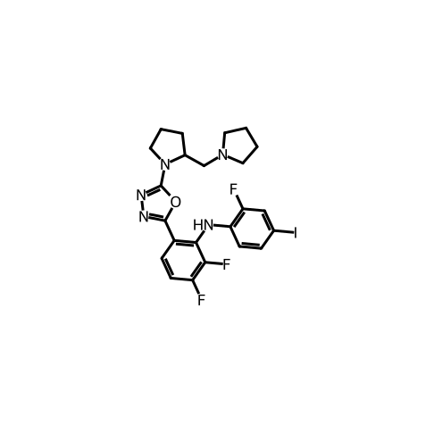 Fc1cc(I)ccc1Nc1c(-c2nnc(N3CCCC3CN3CCCC3)o2)ccc(F)c1F